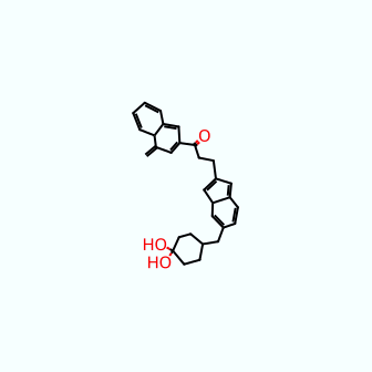 C=C1C=C(C(=O)CCC2=CC3C=C(CC4CCC(O)(O)CC4)C=CC3=C2)C=C2C=CC=CC12